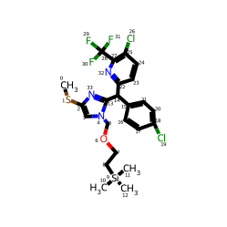 CSc1cn(COCC[Si](C)(C)C)c(C(c2ccc(Cl)cc2)c2ccc(Cl)c(C(F)(F)F)n2)n1